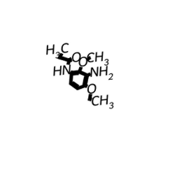 CCOc1ccc(NC(=O)CC)c(OC)c1N